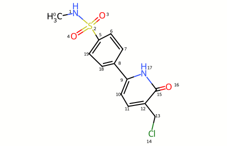 CNS(=O)(=O)c1ccc(-c2ccc(CCl)c(=O)[nH]2)cc1